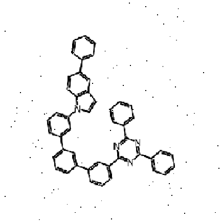 c1ccc(-c2ccc3c(ccn3-c3cccc(-c4cccc(-c5cccc(-c6nc(-c7ccccc7)nc(-c7ccccc7)n6)c5)c4)c3)c2)cc1